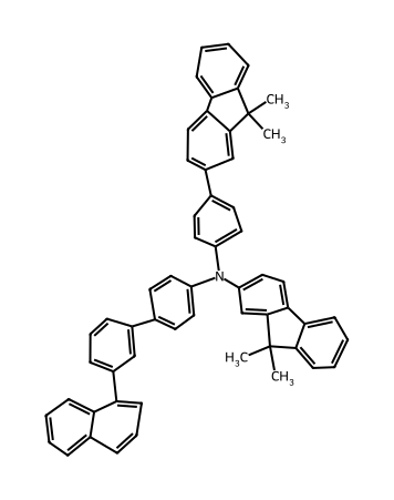 CC1(C)c2ccccc2-c2ccc(-c3ccc(N(c4ccc(-c5cccc(-c6cccc7ccccc67)c5)cc4)c4ccc5c(c4)C(C)(C)c4ccccc4-5)cc3)cc21